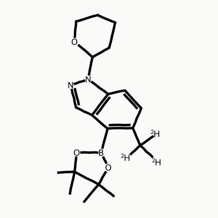 [2H]C([2H])([2H])c1ccc2c(cnn2C2CCCCO2)c1B1OC(C)(C)C(C)(C)O1